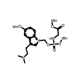 COc1ccc2c(c1)c(CCN(C)C)cn2COP(=O)(NCC(=O)OC(C)(C)C)OC(C)(C)C